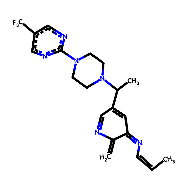 C=C1N=CC(C(C)N2CCN(c3ncc(C(F)(F)F)cn3)CC2)=C/C1=N/C=C\C